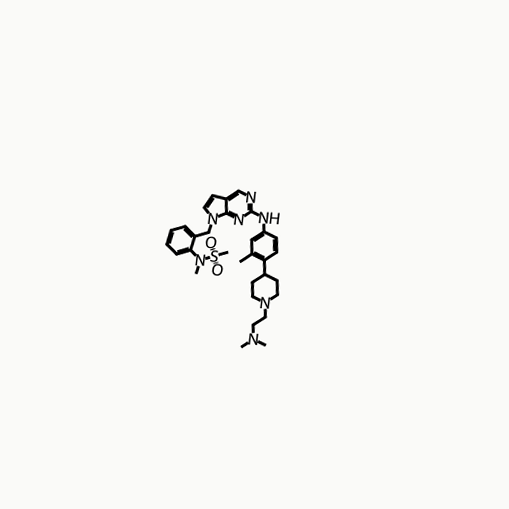 Cc1cc(Nc2ncc3ccn(Cc4ccccc4N(C)S(C)(=O)=O)c3n2)ccc1C1CCN(CCN(C)C)CC1